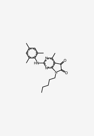 CCCCCN1C(=O)C(=O)c2c(C)nc(Nc3c(C)cc(C)cc3C)nc21